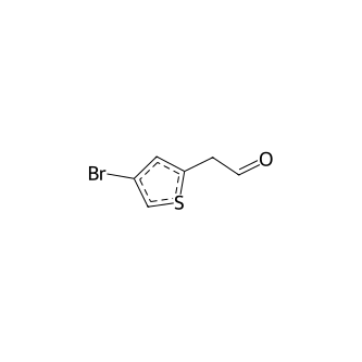 O=CCc1cc(Br)cs1